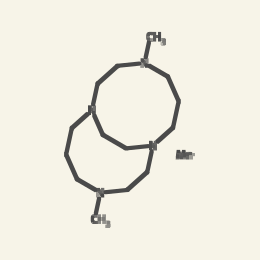 CN1CCCN2CCN(C)CCCN(CC1)CC2.[Mn]